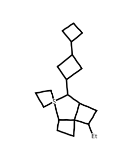 CCC1CC2C(C3CC(C4CCC4)C3)S3(CCC3)C3CCC123